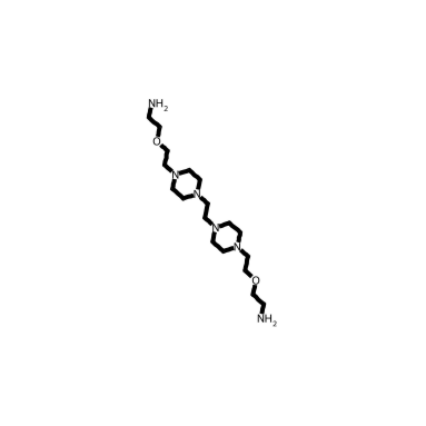 NCCOCCN1CCN(CCN2CCN(CCOCCN)CC2)CC1